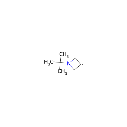 CC(C)(C)N1C[CH]C1